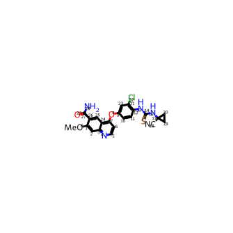 COc1cc2nccc(Oc3ccc(NC(=S)NC4(C#N)CC4)c(Cl)c3)c2cc1C(N)=O